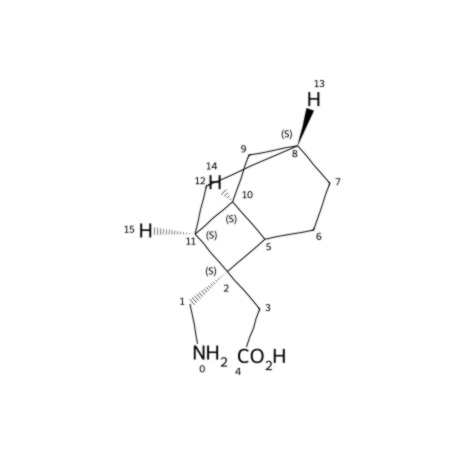 NC[C@@]1(CC(=O)O)C2CC[C@H]3C[C@@H]2[C@@H]1C3